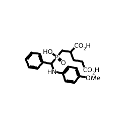 COc1ccc(NC(c2ccccc2)P(=O)(O)CC(CCC(=O)O)C(=O)O)cc1